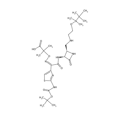 CC(C)(C)OC(=O)Nc1nc(C(=NOC(C)(C)C(=O)O)C(=O)N[C@@H]2C(=O)N[C@@H]2CNCCO[Si](C)(C)C(C)(C)C)cs1